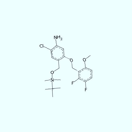 COc1ccc(F)c(F)c1COc1cc(N)c(Cl)cc1CO[Si](C)(C)C(C)(C)C